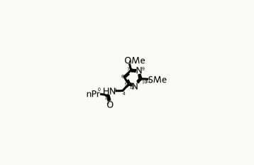 CCCC(=O)NCc1cc(OC)nc(SC)n1